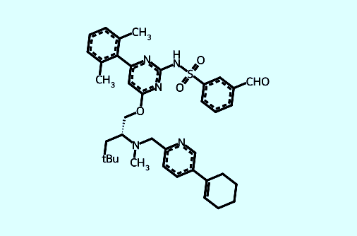 Cc1cccc(C)c1-c1cc(OC[C@@H](CC(C)(C)C)N(C)Cc2ccc(C3=CCCCC3)cn2)nc(NS(=O)(=O)c2cccc(C=O)c2)n1